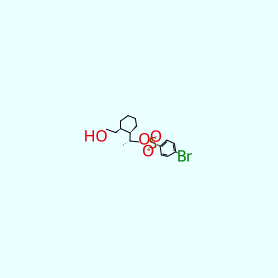 C[C@@H](COS(=O)(=O)c1ccc(Br)cc1)[C@@H]1CCCC[C@@H]1CCO